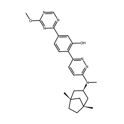 COc1ncnc(-c2ccc(-c3ccc(N(C)[C@H]4C[C@]5(C)CC[C@](C)(C4)C5)nn3)c(O)c2)n1